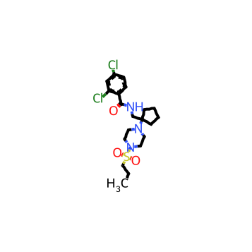 CCCS(=O)(=O)N1CCN(C2(CNC(=O)c3ccc(Cl)cc3Cl)CCCC2)CC1